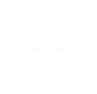 C#CC(C)(S)OCCC(C)(C)O